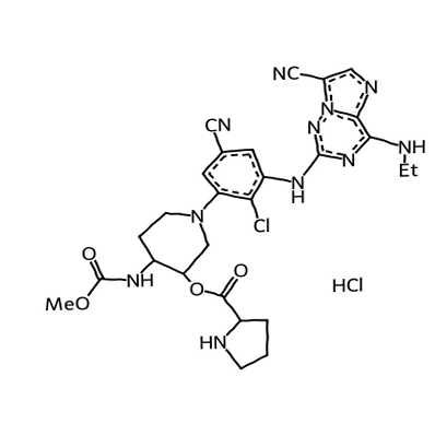 CCNc1nc(Nc2cc(C#N)cc(N3CCC(NC(=O)OC)C(OC(=O)C4CCCN4)C3)c2Cl)nn2c(C#N)cnc12.Cl